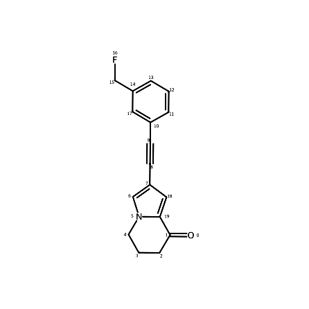 O=C1CCCn2cc(C#Cc3cccc(CF)c3)cc21